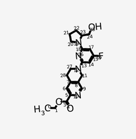 CCOC(=O)c1cc2c(cn1)CN(c1cc(F)cc(N3CCCC3CO)n1)CC2